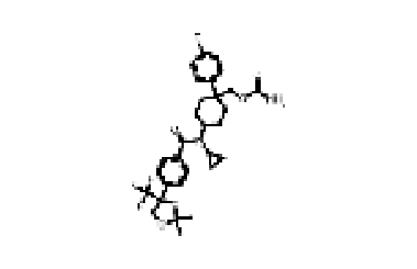 CC1(C)OCC(c2ccc(C(=O)N(C3CC3)C3CCC(COC(N)=O)(c4ccc(F)cc4)CC3)cc2)(C(F)(F)F)O1